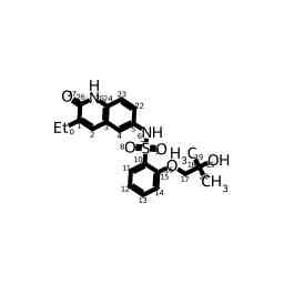 CCc1cc2cc(NS(=O)(=O)c3ccccc3OCC(C)(C)O)ccc2[nH]c1=O